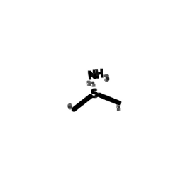 CSC.N